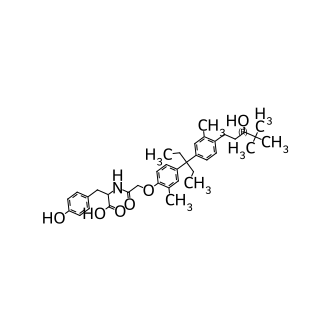 CCC(CC)(c1ccc(CC[C@@H](O)C(C)(C)C)c(C)c1)c1ccc(OCC(=O)NC(Cc2ccc(O)cc2)C(=O)O)c(C)c1